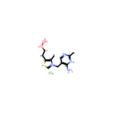 Cc1ncc(C[n+]2csc(CCOO)c2C)c(N)n1.[Cl-]